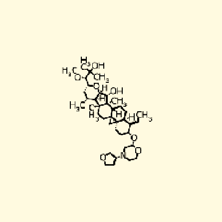 C/C=C1/[C@@H](O[C@H]2CN([C@@H]3CCOC3)CCO2)CC[C@]23C[C@]24CC[C@]2(C)[C@@H]5[C@H](O[C@@H]([C@H](OC)C(C)(C)O)C[C@H]5C)[C@H](O)[C@@]2(C)[C@@H]4CC[C@@H]13